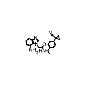 CC(NC(=O)Cn1cnc2cccc(N)c21)c1ccc(C2(C#N)CC2)cc1